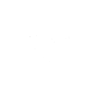 CC(C)(S)Oc1ccccc1-c1ccccc1